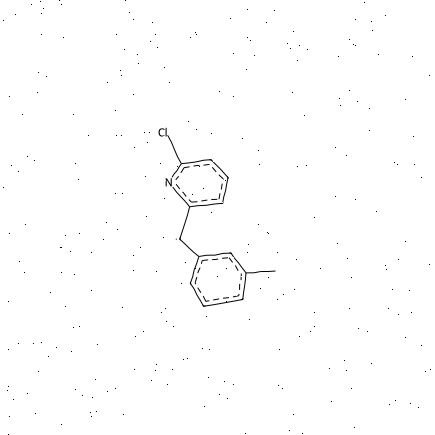 Cc1cccc([CH]c2cccc(Cl)n2)c1